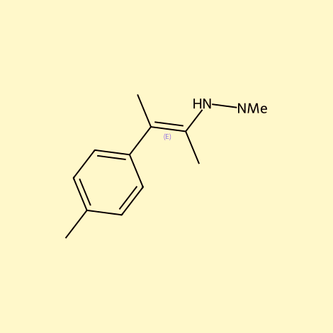 CNN/C(C)=C(\C)c1ccc(C)cc1